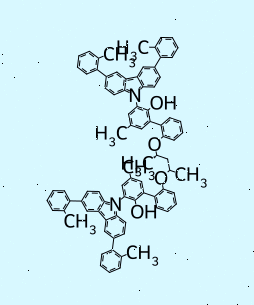 Cc1cc(-c2ccccc2OC(C)C[C@@H](C)Oc2ccccc2-c2cc(C)cc(-n3c4ccc(-c5ccccc5C)cc4c4cc(-c5ccccc5C)ccc43)c2O)c(O)c(-n2c3ccc(-c4ccccc4C)cc3c3cc(-c4ccccc4C)ccc32)c1